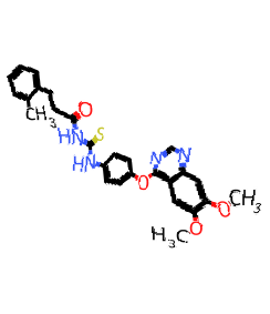 COc1cc2ncnc(Oc3ccc(NC(=S)NC(=O)CCc4ccccc4C)cc3)c2cc1OC